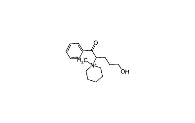 C[N+]1(C(CCCO)C(=O)c2ccccc2)CCCCC1